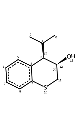 CC(C)[C@@H]1c2ccccc2SC[C@@H]1O